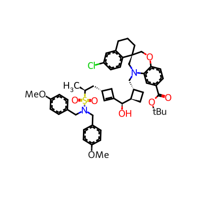 COc1ccc(CN(Cc2ccc(OC)cc2)S(=O)(=O)[C@@H](C)C[C@H]2C=C([C@H](O)[C@@H]3CC[C@H]3CN3C[C@@]4(CCCc5cc(Cl)ccc54)COc4ccc(C(=O)OC(C)(C)C)cc43)C2)cc1